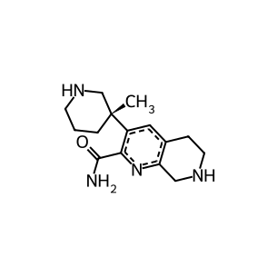 C[C@@]1(c2cc3c(nc2C(N)=O)CNCC3)CCCNC1